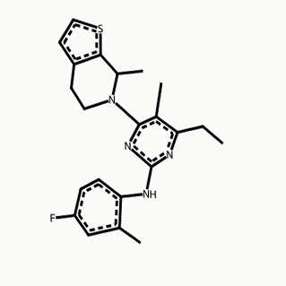 CCc1nc(Nc2ccc(F)cc2C)nc(N2CCc3ccsc3C2C)c1C